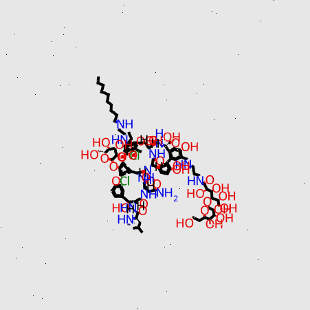 CCCCCCCCCCNCCNC1(CC)C[C@H](O[C@H]2C(Oc3c4cc5cc3Oc3ccc(cc3Cl)[C@@H](O)[C@@H](NC(=O)[C@@H](CC(C)C)NC)C(=O)N[C@@H](CC(N)=O)C(=O)N[C@H]5C(=O)N[C@H]3C(=O)N[C@H](C(=O)N[C@H](C(=O)O)c5cc(O)c(CNCCCNC(=O)[C@H](O)[C@@H](O)[C@H](O[C@@H]6OC(CCO)[C@H](O)[C@H](O)C6O)[C@H](O)CO)c(O)c5-c5cc3ccc5O)[C@H](O)c3ccc(c(Cl)c3)O4)O[C@H](CO)C(O)C2O)OC(C)[C@H]1O